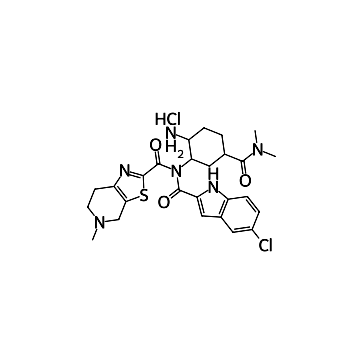 CN1CCc2nc(C(=O)N(C(=O)c3cc4cc(Cl)ccc4[nH]3)C3CC(C(=O)N(C)C)CCC3N)sc2C1.Cl